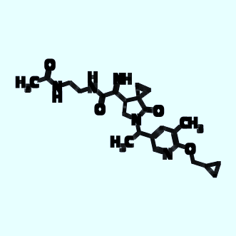 CC(=O)NCCNC(=O)C(=N)C1CN(C(C)c2cnc(OCC3CC3)c(C)c2)C(=O)C12C=C2